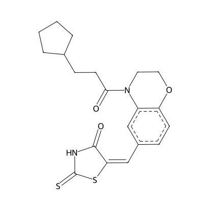 O=C1NC(=S)SC1=Cc1ccc2c(c1)N(C(=O)CCC1CCCC1)CCO2